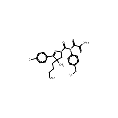 COC(=O)C(=O)N(C(=O)N1CC(C)(CCCSC)C(c2ccc(Cl)cc2)=N1)c1ccc(OC(F)(F)F)cc1